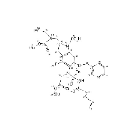 C=CCOC(=O)NS(=O)(=O)N(CC(=O)OC(C)(C)C)c1c(OCc2ccccc2)cc2c(c1F)C[C@H](CN(CC(C)C)C(=O)OC(C)(C)C)N2C(=O)O